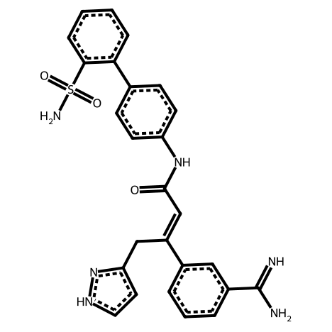 N=C(N)c1cccc(/C(=C/C(=O)Nc2ccc(-c3ccccc3S(N)(=O)=O)cc2)Cc2cc[nH]n2)c1